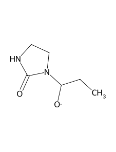 CCC([O])N1CCNC1=O